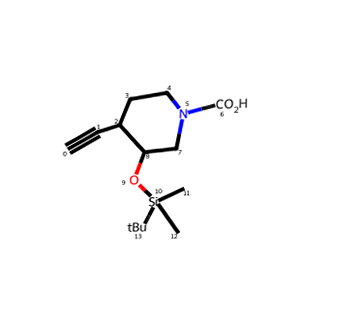 C#CC1CCN(C(=O)O)CC1O[Si](C)(C)C(C)(C)C